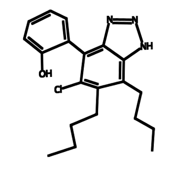 CCCCc1c(Cl)c(-c2ccccc2O)c2nn[nH]c2c1CCCC